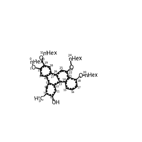 CCCCCCOc1cc2c3cc(C)c(O)cc3c3c4cccc(OCCCCCC)c4c(OCCCCCC)cc3c2cc1OCCCCCC